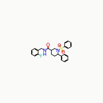 O=C(NCc1ccccc1F)C1CCC(c2ccccc2)N(S(=O)(=O)c2ccccc2)C1